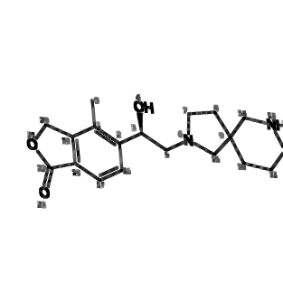 Cc1c([C@@H](O)CN2CCC3(CCCNC3)C2)ccc2c1COC2=O